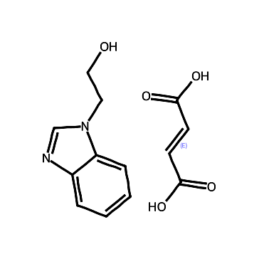 O=C(O)/C=C/C(=O)O.OCCn1cnc2ccccc21